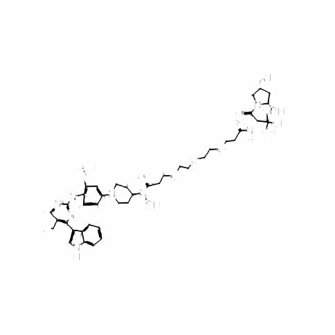 COc1cc(N2CCC(N(C)C(=O)CCOCCOCCOCCC(=O)N[C@H](C(=O)N3C[C@H](O)C[C@H]3C)C(C)(C)C)CC2)ccc1Nc1ncc(Cl)c(-c2c[nH]c3ccccc23)n1